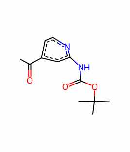 CC(=O)c1ccnc(NC(=O)OC(C)(C)C)c1